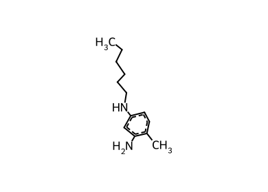 CCCCCCNc1ccc(C)c(N)c1